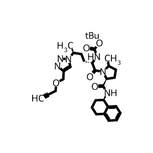 C#CCOCc1cn([C@@H](C)CC[C@H](NC(=O)OC(C)(C)C)C(=O)N2C(C)CC[C@H]2C(=O)N[C@@H]2CCCc3ccccc32)nn1